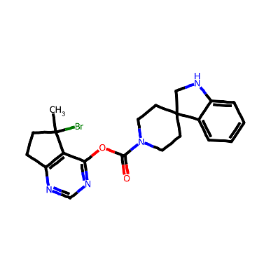 CC1(Br)CCc2ncnc(OC(=O)N3CCC4(CC3)CNc3ccccc34)c21